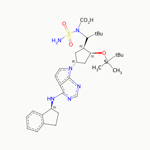 CC(C)(C)C([C@@H]1C[C@@H](n2ccc3c(N[C@H]4CCc5ccccc54)ncnc32)C[C@@H]1O[Si](C)(C)C(C)(C)C)N(C(=O)O)S(N)(=O)=O